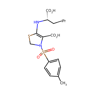 Cc1ccc(S(=O)(=O)N2CSC(N[C@@H](CC(C)C)C(=O)O)=C2C(=O)O)cc1